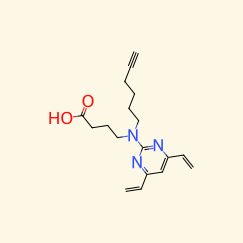 C#CCCCCN(CCCC(=O)O)c1nc(C=C)cc(C=C)n1